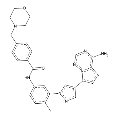 Cc1ccc(NC(=O)c2ccc(CN3CCOCC3)cc2)cc1-n1cc(-c2cnc3c(N)ncnn23)cn1